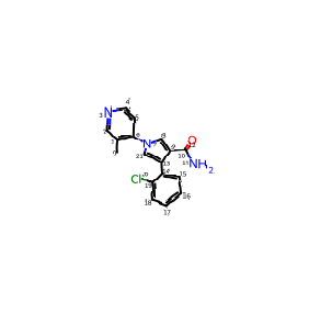 Cc1cn[c]cc1-n1cc(C(N)=O)c(-c2ccccc2Cl)c1